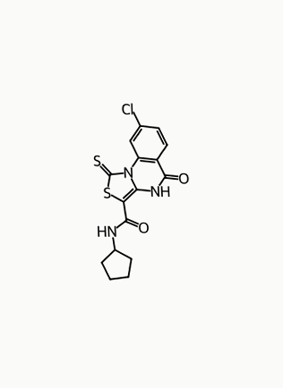 O=C(NC1CCCC1)c1sc(=S)n2c1[nH]c(=O)c1ccc(Cl)cc12